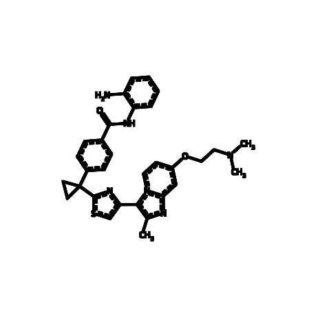 Cc1nc2cc(OCCN(C)C)ccn2c1-c1csc(C2(c3ccc(C(=O)Nc4ccccc4N)cc3)CC2)n1